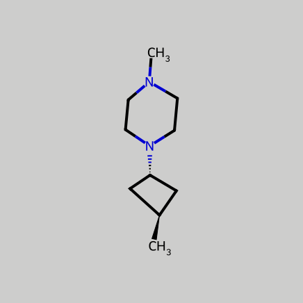 CN1CCN([C@H]2C[C@H](C)C2)CC1